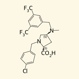 CN(Cc1cc(C(F)(F)F)cc(C(F)(F)F)c1)[C@H]1C[C@@H](C(=O)O)N(Cc2ccc(Cl)cc2)C1